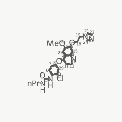 CCCNC(=O)Nc1ccc(Oc2ccnc3cc(OCCn4ccnc4)c(OC)cc23)cc1Cl